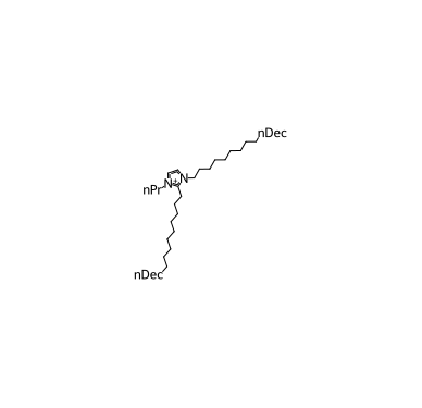 CCCCCCCCCCCCCCCCCCCc1n(CCCCCCCCCCCCCCCCCCC)cc[n+]1CCC